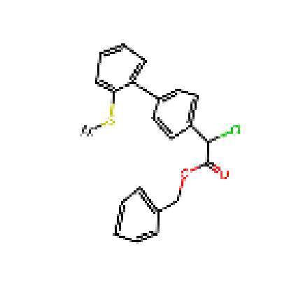 CC(=O)Sc1ccccc1-c1ccc(C(Cl)C(=O)OCc2ccccc2)cc1